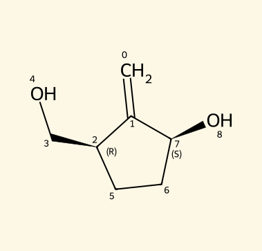 C=C1[C@H](CO)CC[C@@H]1O